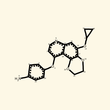 Nc1ccc(Oc2ccnc3cc(OC4CC4)c4c(c23)OCCO4)cc1